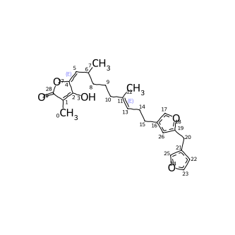 CC1=C(O)/C(=C\C(C)CCC/C(C)=C/CCc2coc(Cc3ccoc3)c2)OC1=O